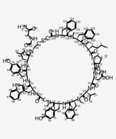 CCCC[C@H]1C(=O)N2C[C@H](C)C[C@@H]2C(=O)N[C@@H](CC(O)=P)C(=O)N[C@@H](C(C)C)C(=O)N(C)[C@@H](Cc2ccccc2)C(=O)N[C@@H](Cc2ccc(O)cc2)C(=O)N(C)CC(=O)N[C@@H](Cc2c[nH]c3ccccc23)C(=O)N[C@@H](Cc2ccc(O)cc2)C(=O)N[C@@H](CC(C)C)C(=O)N[C@H](C(=O)NCC(N)=O)CSCC(=O)N[C@@H](Cc2ccccc2)C(=O)N(C)[C@@H](Cc2ccccc2)C(=O)N1C